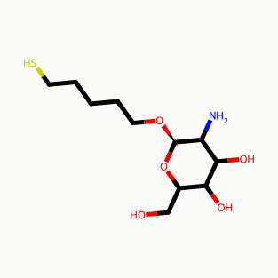 NC1C(O)C(O)C(CO)O[C@H]1OCCCCCS